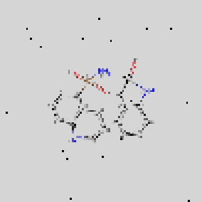 NS(=O)(=O)c1cccc2ncccc12.O=C1Cc2ccccc2N1